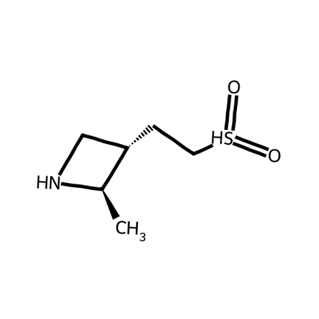 C[C@H]1NC[C@@H]1CC[SH](=O)=O